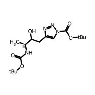 C[C@H](NC(=O)OC(C)(C)C)C(O)Cc1cn(C(=O)OC(C)(C)C)nn1